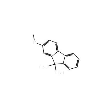 CBc1ccc2c(c1)C(CCCC)(CCCC)c1ccccc1-2